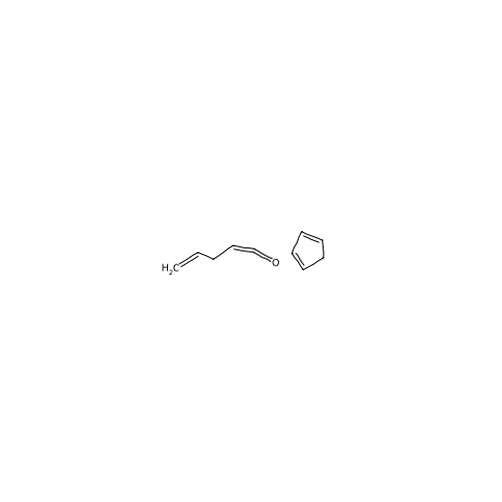 C1=CCC=C1.C=CCC=C=O